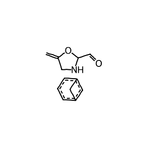 C=C1CNC(C=O)O1.c1cc2cc(c1)C2